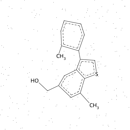 Cc1ccccc1-c1csc2c(C)cc(CO)cc12